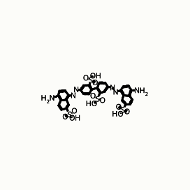 Nc1ccc(N=Nc2ccc(-c3ccc(N=Nc4ccc(N)c5ccc(S(=O)(=O)O)cc45)cc3S(=O)(=O)O)c(S(=O)(=O)O)c2)c2cc(S(=O)(=O)O)ccc12